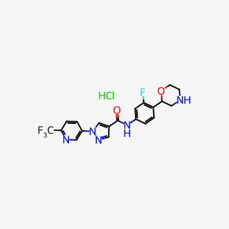 Cl.O=C(Nc1ccc(C2CNCCO2)c(F)c1)c1cnn(-c2ccc(C(F)(F)F)nc2)c1